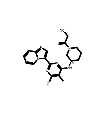 Cc1c(Cl)nc(-c2cnc3ccccn23)nc1N[C@@H]1CCCN(C(=O)CC#N)C1